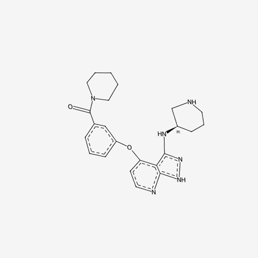 O=C(c1cccc(Oc2ccnc3[nH]nc(N[C@@H]4CCCNC4)c23)c1)N1CCCCC1